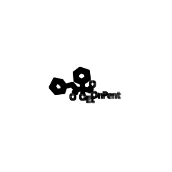 CCCCCOC(=O)C(OCC)(C(=O)Cc1ccccc1)c1ccccc1